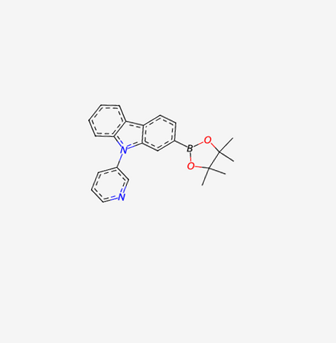 CC1(C)OB(c2ccc3c4ccccc4n(-c4cccnc4)c3c2)OC1(C)C